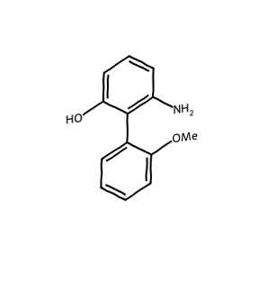 COc1ccccc1-c1c(N)cccc1O